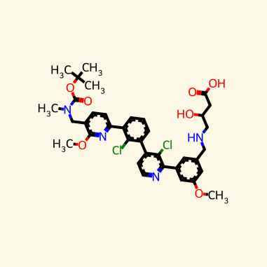 COc1cc(CNCC(O)CC(=O)O)cc(-c2nccc(-c3cccc(-c4ccc(CN(C)C(=O)OC(C)(C)C)c(OC)n4)c3Cl)c2Cl)c1